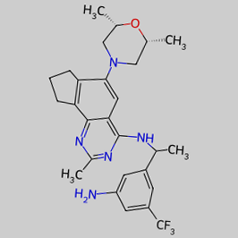 Cc1nc(NC(C)c2cc(N)cc(C(F)(F)F)c2)c2cc(N3C[C@@H](C)O[C@@H](C)C3)c3c(c2n1)CCC3